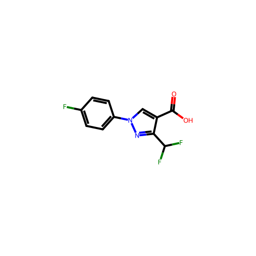 O=C(O)c1cn(-c2ccc(F)cc2)nc1C(F)F